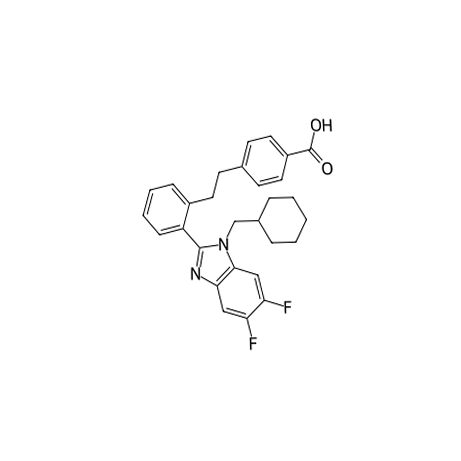 O=C(O)c1ccc(CCc2ccccc2-c2nc3cc(F)c(F)cc3n2CC2CCCCC2)cc1